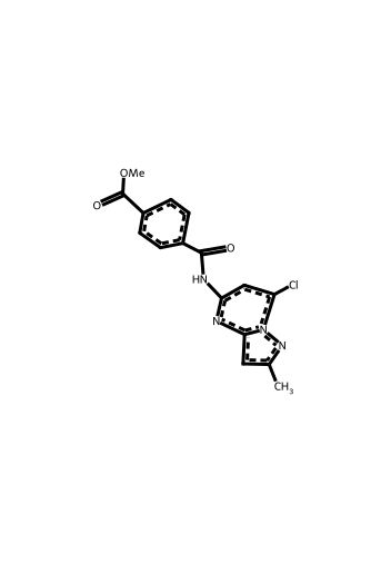 COC(=O)c1ccc(C(=O)Nc2cc(Cl)n3nc(C)cc3n2)cc1